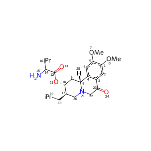 COc1cc2c(cc1OC)[C@H]1C[C@@H](OC(=O)C(N)C(C)C)[C@H](CC(C)C)CN1CC2=O